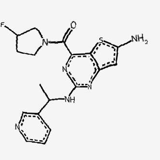 CC(Nc1nc(C(=O)N2CCC(F)C2)c2sc(N)cc2n1)c1cccnc1